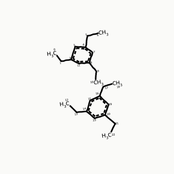 CCc1cc(CC)cc(CC)c1.CCc1cc(CC)cc(CC)c1